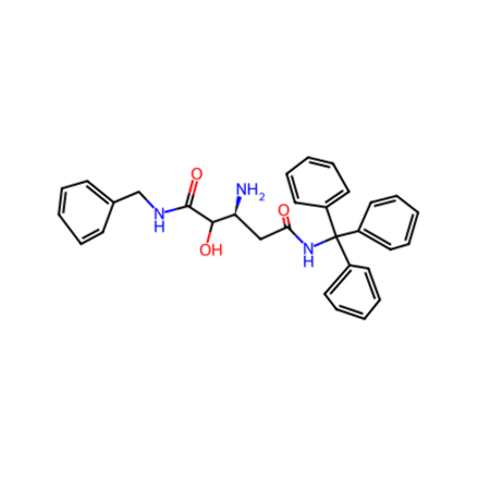 N[C@@H](CC(=O)NC(c1ccccc1)(c1ccccc1)c1ccccc1)C(O)C(=O)NCc1ccccc1